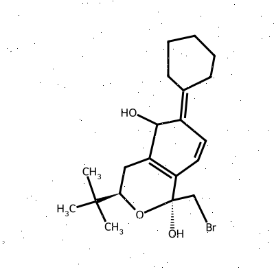 CC(C)(C)[C@H]1CC2=C(C=CC(=C3CCCCC3)C2O)[C@@](O)(CBr)O1